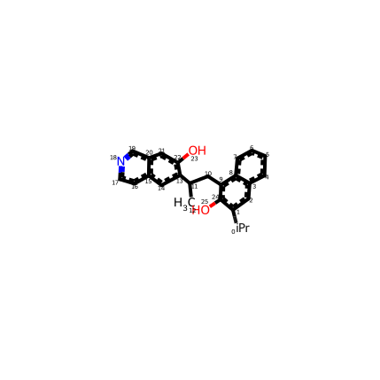 CC(C)c1cc2ccccc2c(CC(C)c2cc3ccncc3cc2O)c1O